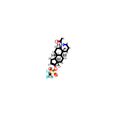 CC(=O)N1CCC[C@@]2(C)[C@@H]1CC[C@@H]1[C@@H]2CC[C@]2(C)C(OS(=O)(=O)C(F)(F)F)=CC[C@@H]12